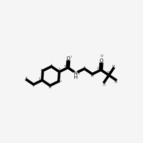 CCC1CCC(C(=O)NCCC(=O)C(C)(C)C)CC1